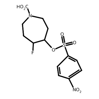 O=C(O)N1CCC(F)C(OS(=O)(=O)c2ccc([N+](=O)[O-])cc2)CC1